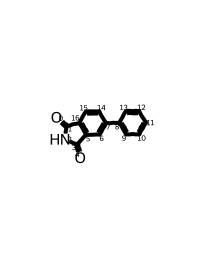 O=C1NC(=O)c2cc(-c3ccccc3)ccc21